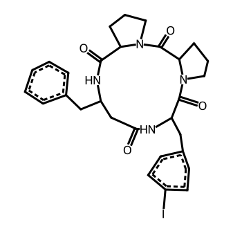 O=C1CC(Cc2ccccc2)NC(=O)C2CCCN2C(=O)C2CCCN2C(=O)C(Cc2ccc(I)cc2)N1